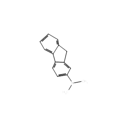 CN(C)c1ccc2c(c1)Cc1ccccc1-2